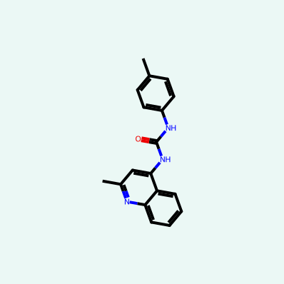 Cc1ccc(NC(=O)Nc2cc(C)nc3ccccc23)cc1